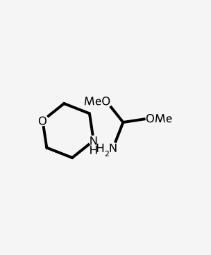 C1COCCN1.COC(N)OC